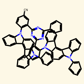 N#Cc1ccc(-n2c3ccccc3c3c4c5ccccc5n(-c5ccccc5)c4ccc32)c(-c2nc(-c3ccccc3)nc(-c3cc(C#N)ccc3-n3c4ccccc4c4c5c6ccccc6n(-c6ccccc6)c5ccc43)n2)c1